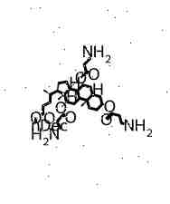 CCCCCCCCCCOC(=O)CC[C@@H](C)[C@H]1CC[C@H]2[C@H]3C(C[C@H](OC(=O)CCN)[C@]12C)[C@@]1(C)CC[C@@H](OC(=O)CCN)C[C@H]1C[C@H]3OC(=O)CCN